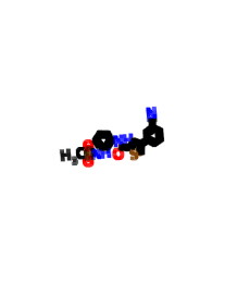 CS(=O)(=O)Nc1cccc(NC(=O)c2cc(-c3cccc(C#N)c3)cs2)c1